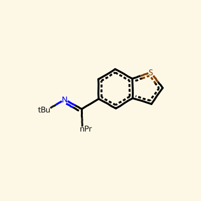 CCC/C(=N\C(C)(C)C)c1ccc2sccc2c1